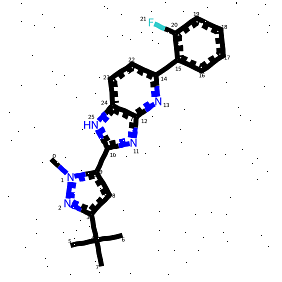 Cn1nc(C(C)(C)C)cc1-c1nc2nc(-c3ccccc3F)ccc2[nH]1